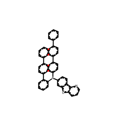 c1ccc(-c2ccc(-c3ccc(N(c4ccc5c(c4)oc4cccnc45)c4ccccc4-c4ccc(-c5ccccc5)cc4)cc3)cc2)cc1